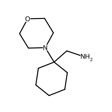 NCC1(N2CCOCC2)CCCCC1